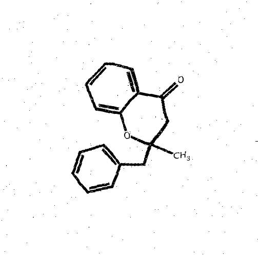 CC1(Cc2ccccc2)CC(=O)c2ccccc2O1